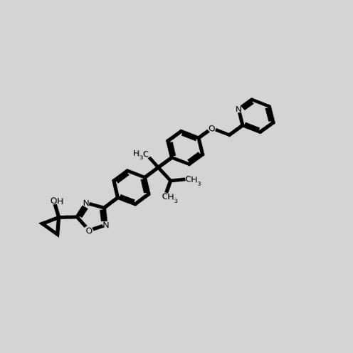 CC(C)C(C)(c1ccc(OCc2ccccn2)cc1)c1ccc(-c2noc(C3(O)CC3)n2)cc1